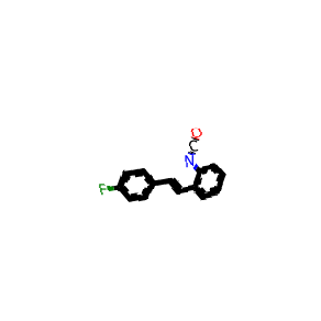 O=C=Nc1ccccc1C=Cc1ccc(F)cc1